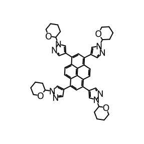 c1nn(C2CCCCO2)cc1-c1cc(-c2cnn(C3CCCCO3)c2)c2ccc3c(-c4cnn(C5CCCCO5)c4)cc(-c4cnn(C5CCCCO5)c4)c4ccc1c2c43